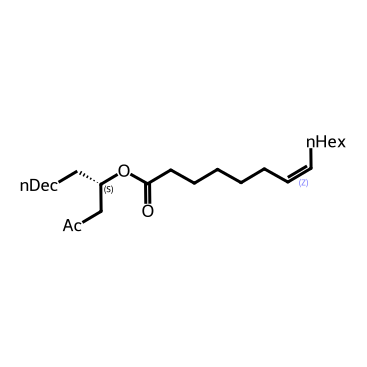 CCCCCC/C=C\CCCCCC(=O)O[C@@H](CCCCCCCCCCC)CC(C)=O